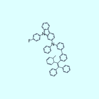 CC1C=CC=CC1C(=C(c1ccccc1)c1ccccc1)c1cccc(-c2cccc(N(c3ccccc3)c3ccc4c5ccccc5n(-c5ccc(F)cc5)c4c3)c2)c1